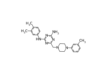 Cc1cccc(N2CCN(Cc3nc(N)nc(Nc4ccc(C)c(C)c4)n3)CC2)c1